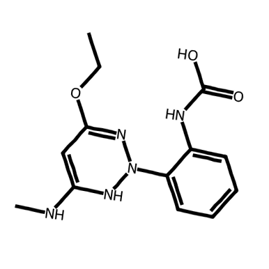 CCOC1=NN(c2ccccc2NC(=O)O)NC(NC)=C1